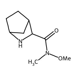 CON(C)C(=O)C1NC2CCC1C2